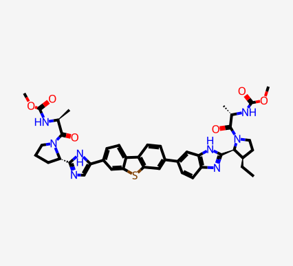 CC[C@@H]1CCN(C(=O)[C@H](C)NC(=O)OC)[C@@H]1c1nc2ccc(-c3ccc4c(c3)sc3cc(-c5cnc([C@@H]6CCCN6C(=O)[C@H](C)NC(=O)OC)[nH]5)ccc34)cc2[nH]1